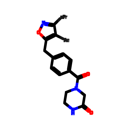 CCCc1noc(Cc2ccc(C(=O)N3CCNC(=O)C3)cc2)c1C(C)=O